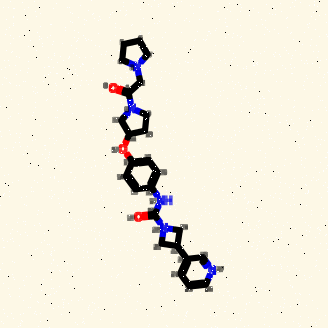 O=C(CN1CCCC1)N1CCC(Oc2ccc(NC(=O)N3CC(c4cccnc4)C3)cc2)C1